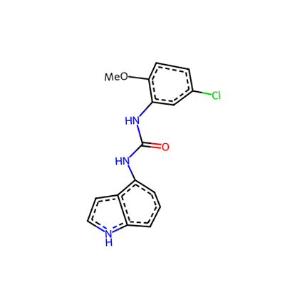 COc1ccc(Cl)cc1NC(=O)Nc1cccc2[nH]ccc12